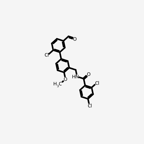 COc1ccc(-c2cc(C=O)ccc2Cl)cc1CNC(=O)c1ccc(Cl)cc1Cl